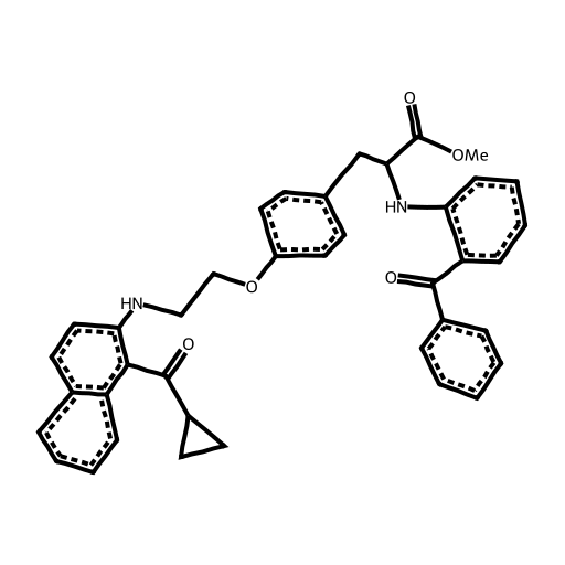 COC(=O)C(Cc1ccc(OCCNc2ccc3ccccc3c2C(=O)C2CC2)cc1)Nc1ccccc1C(=O)c1ccccc1